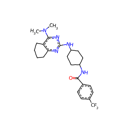 CN(C)c1nc(NC2CCC(NC(=O)c3ccc(C(F)(F)F)cc3)CC2)nc2c1CCCC2